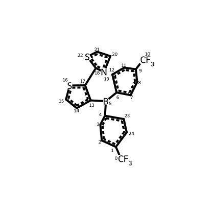 FC(F)(F)c1ccc(B(c2ccc(C(F)(F)F)cc2)c2ccsc2-c2nccs2)cc1